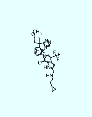 COC1CC(c2cccc(-n3cc(C(F)(F)F)c4cc(CNCCC5CC5)[nH]c4c3=O)c2)(c2nncn2C)C1